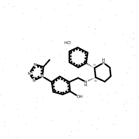 Cc1nnnn1-c1ccc(O)c(CN[C@H]2CCCN[C@H]2c2ccccc2)c1.Cl